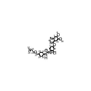 COc1cc2ncnc(Oc3ccc(NC(=O)Nc4ccc(COCCN(C)C)cc4)c(Cl)c3)c2cc1OC